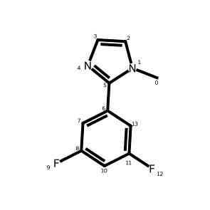 Cn1ccnc1-c1cc(F)cc(F)c1